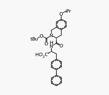 CC(C)Oc1ccc2c(c1)CN(C(=O)OC(C)(C)C)[C@H](C(=O)N[C@@H](Cc1ccc(-c3ccccc3)cc1)C(=O)O)C2